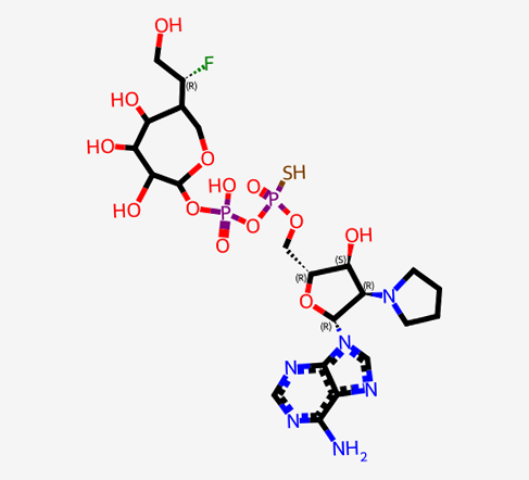 Nc1ncnc2c1ncn2[C@@H]1O[C@H](COP(=O)(S)OP(=O)(O)OC2OCC([C@@H](F)CO)C(O)C(O)C2O)[C@@H](O)[C@H]1N1CCCC1